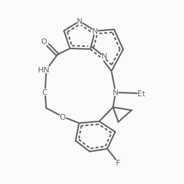 CCN1c2ccn3ncc(c3n2)C(=O)NCCOc2ccc(F)cc2C12CC2